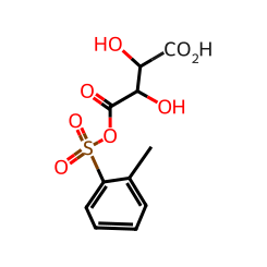 Cc1ccccc1S(=O)(=O)OC(=O)C(O)C(O)C(=O)O